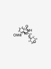 COc1cccc2c(=O)[nH]c(CSC3CCOCC3)nc12